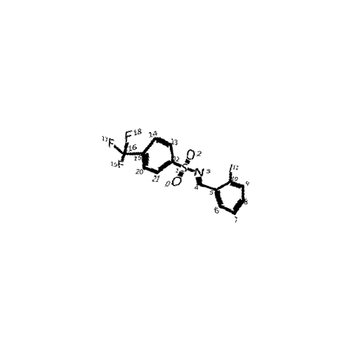 O=S(=O)(N=Cc1ccccc1I)c1ccc(C(F)(F)F)cc1